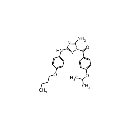 CCCCOc1ccc(Nc2nc(N)n(C(=O)c3ccc(OC(C)C)cc3)n2)cc1